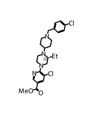 CC[C@H]1CN(c2ncc(C(=O)OC)cc2Cl)CCN1C1CCN(Cc2ccc(Cl)cc2)CC1